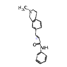 CN1CCc2ccc(/C=C/C(=O)Nc3ccccc3)cc2C1